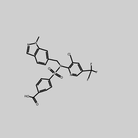 Cn1ncc2ccc(CN(c3ncc(C(F)(F)F)cc3Cl)S(=O)(=O)c3ccc(C(=O)O)cc3)cc21